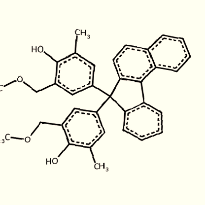 COCc1cc(C2(c3cc(C)c(O)c(COC)c3)c3ccccc3-c3c2ccc2ccccc32)cc(C)c1O